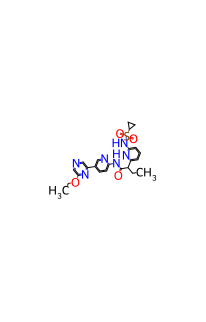 CCOc1cncc(-c2ccc(NC(=O)C(CC)c3cccc(NS(=O)(=O)C4CC4)n3)nc2)n1